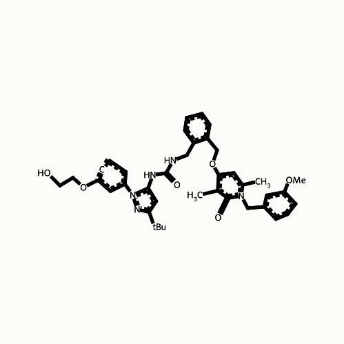 COc1cccc(Cn2c(C)cc(OCc3ccccc3CNC(=O)Nc3cc(C(C)(C)C)nn3-c3cccc(OCCO)c3)c(C)c2=O)c1